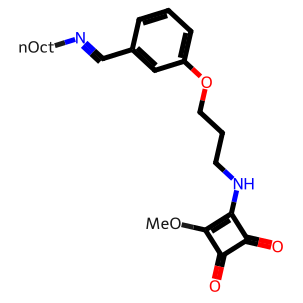 CCCCCCCCN=Cc1cccc(OCCCNc2c(OC)c(=O)c2=O)c1